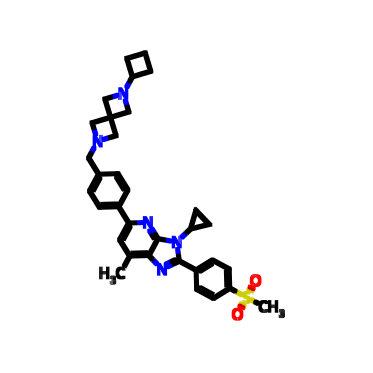 Cc1cc(-c2ccc(CN3CC4(C3)CN(C3CCC3)C4)cc2)nc2c1nc(-c1ccc(S(C)(=O)=O)cc1)n2C1CC1